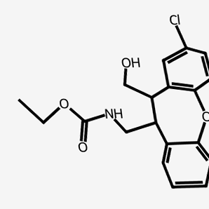 CCOC(=O)NCC1c2ccccc2Oc2ccc(Cl)cc2C1CO